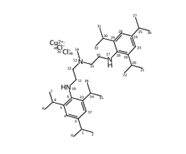 CC(C)c1cc(C(C)C)c(NCCN(C)CCNc2c(C(C)C)cc(C(C)C)cc2C(C)C)c(C(C)C)c1.[Cl-].[Cl-].[Cu+2]